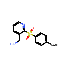 COc1ccc(S(=O)(=O)c2ncccc2CN)cc1